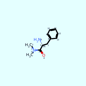 CN(C)C(=O)[C@H](N)Cc1ccccc1